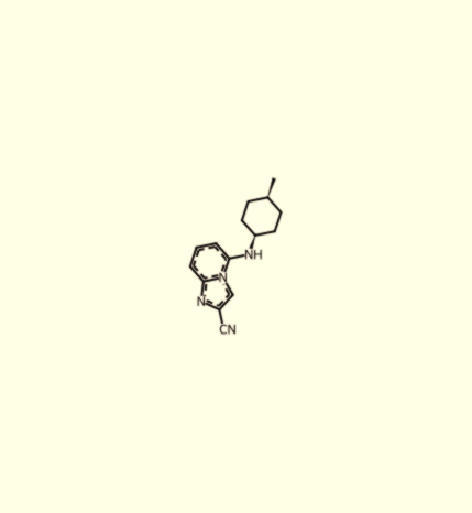 C[C@H]1CC[C@@H](Nc2cccc3nc(C#N)cn23)CC1